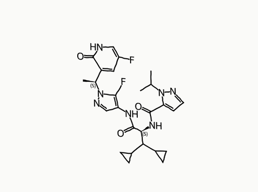 CC(C)n1nccc1C(=O)N[C@H](C(=O)Nc1cnn([C@@H](C)c2cc(F)c[nH]c2=O)c1F)C(C1CC1)C1CC1